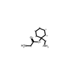 NCC(=O)OC1(CN)CCCCC1